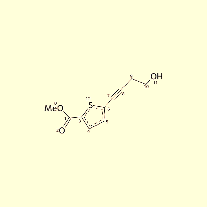 COC(=O)c1ccc(C#CCCO)s1